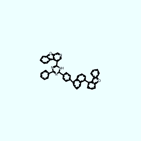 c1ccc(C2=NC(c3ccc(-c4cccc5c(-c6cccc7oc8ccccc8c67)cccc45)cc3)NC(c3cncc4oc5ccccc5c34)=N2)cc1